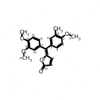 COc1ccc(/C(=C2\C=CC(=O)O2)c2ccc(OC)c(OC)c2)cc1C